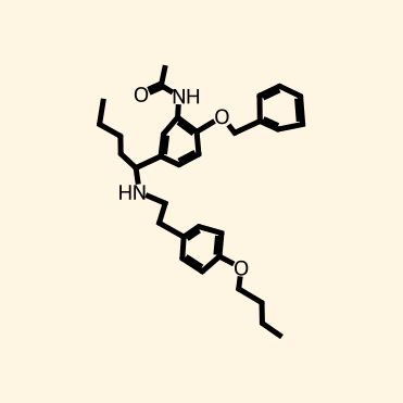 CCCCOc1ccc(CCNC(CCCC)c2ccc(OCc3ccccc3)c(NC(C)=O)c2)cc1